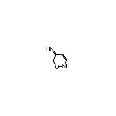 N=C1C=CNOC1